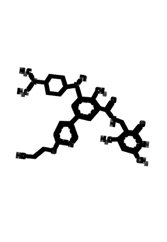 CCN(c1cc(-c2ccc(OCCO)nc2)cc(C(=O)NCc2c(C)cc(C)[nH]c2=O)c1C)C1CCC(N(C)C)CC1